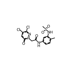 Cc1ccc(NC(=O)Cn2nc(Cl)c(Cl)cc2=O)cc1NS(C)(=O)=O